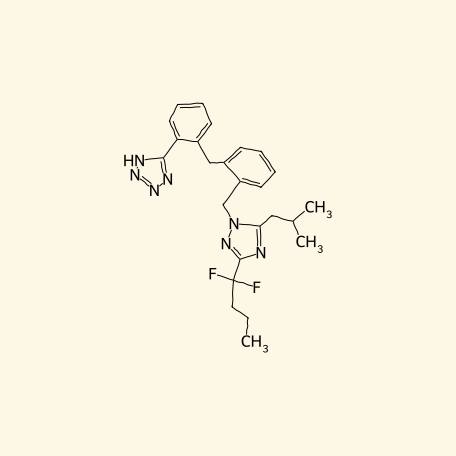 CCCC(F)(F)c1nc(CC(C)C)n(Cc2ccccc2Cc2ccccc2-c2nnn[nH]2)n1